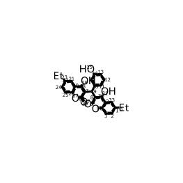 CCc1ccc2oc(=O)c(C(c3cccc(O)c3)c3c(O)c4cc(CC)ccc4oc3=O)c(O)c2c1